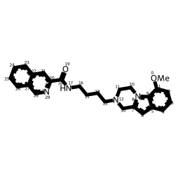 COc1cccc2cc3n(c12)CCN(CCCCNC(=O)c1cc2ccccc2cn1)C3